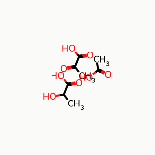 CC(=O)C(=O)O.CC(=O)O.CC(O)C(=O)O